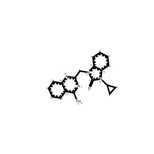 Cc1nc(Cn2c(=O)n(C3CC3)c3ccccc32)nc2ccccc12